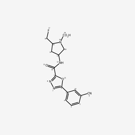 N#Cc1cccc(-c2nnc(C(=O)NC3CC(CF)N(C(=O)O)C3)o2)c1